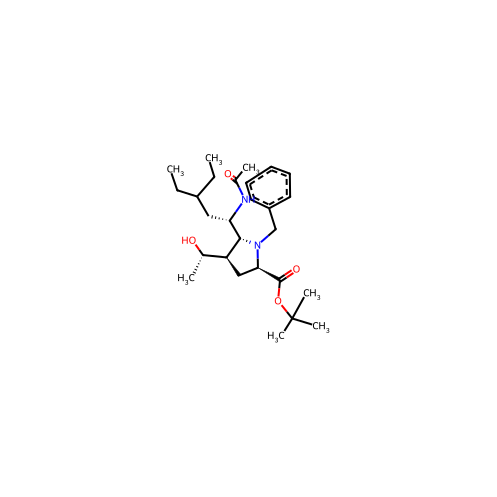 CCC(CC)C[C@H](NC(C)=O)[C@H]1[C@H]([C@H](C)O)C[C@H](C(=O)OC(C)(C)C)N1Cc1ccccc1